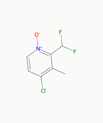 Cc1c(Cl)cc[n+]([O-])c1C(F)F